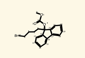 COC(=O)OC1(CCCCBr)c2ccccc2-c2ccccc21